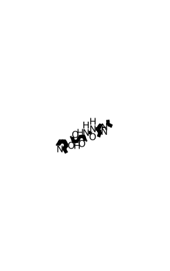 Cc1nn(C(C)C)cc1NC(=O)N[C@H]1CO[C@H]2[C@@H]1OC[C@@H]2Oc1cccnc1C